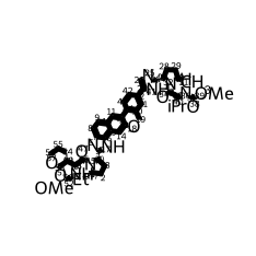 CC[C@H]1CC[C@@H](c2nc3ccc4cc5c(cc4c3[nH]2)OCc2cc(-c3cnc([C@@H]4CCC(C)N4C(=O)[C@@H](NC(=O)OC)C(C)C)[nH]3)ccc2-5)N1C(=O)[C@@H](NC(=O)OC)[C@H]1CCCOC1